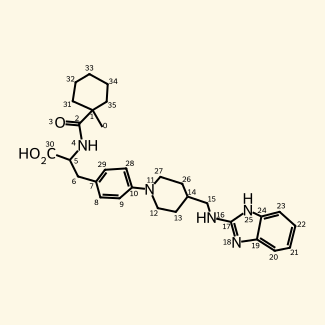 CC1(C(=O)NC(Cc2ccc(N3CCC(CNc4nc5ccccc5[nH]4)CC3)cc2)C(=O)O)CCCCC1